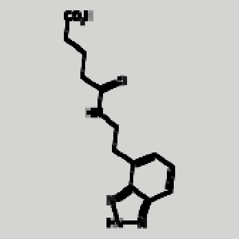 O=C(O)CCCC(=O)NCCc1cccc2n[nH]nc12